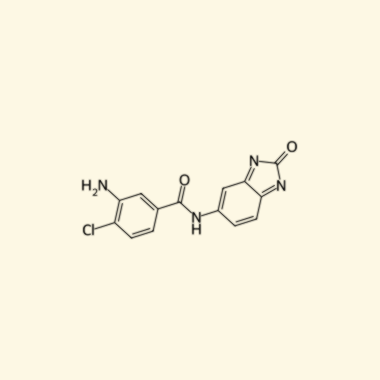 Nc1cc(C(=O)Nc2ccc3c(c2)=NC(=O)N=3)ccc1Cl